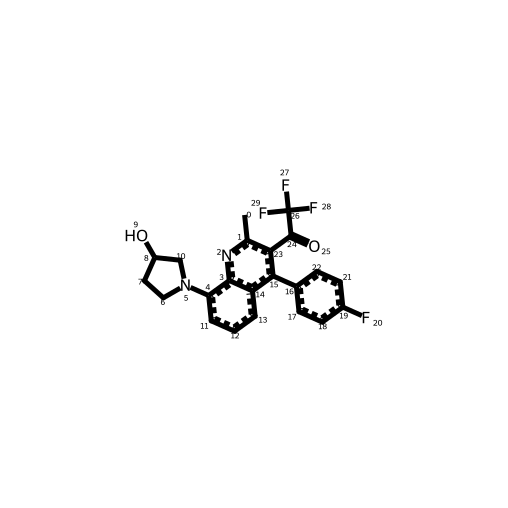 Cc1nc2c(N3CCC(O)C3)cccc2c(-c2ccc(F)cc2)c1C(=O)C(F)(F)F